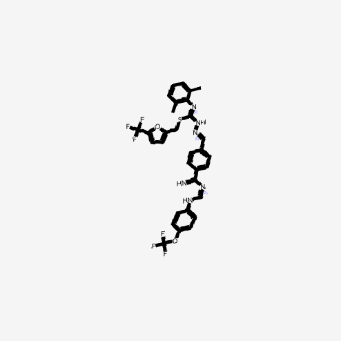 Cc1cccc(C)c1/N=C(/N/N=C/c1ccc(C(=N)/N=C\Nc2ccc(OC(F)(F)F)cc2)cc1)SCc1ccc(C(F)(F)F)o1